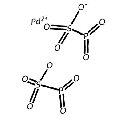 O=P(=O)S(=O)(=O)[O-].O=P(=O)S(=O)(=O)[O-].[Pd+2]